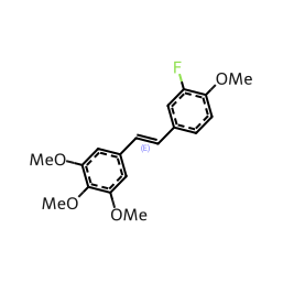 COc1ccc(/C=C/c2cc(OC)c(OC)c(OC)c2)cc1F